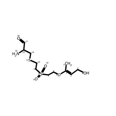 C/C(=C\CO)OCCS(=O)(=O)CCSCC(N)C=O